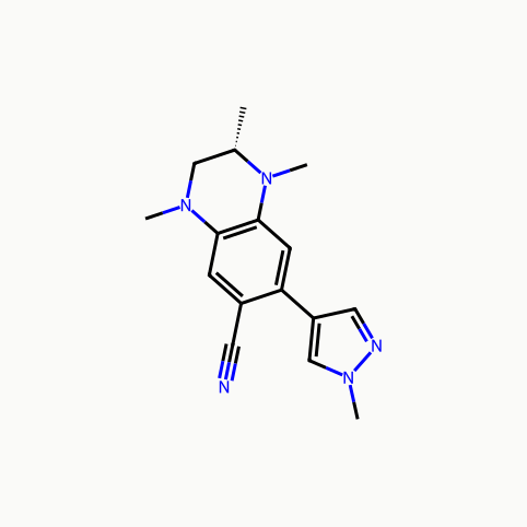 C[C@H]1CN(C)c2cc(C#N)c(-c3cnn(C)c3)cc2N1C